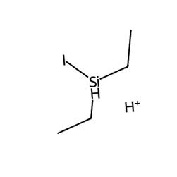 CC[SiH](I)CC.[H+]